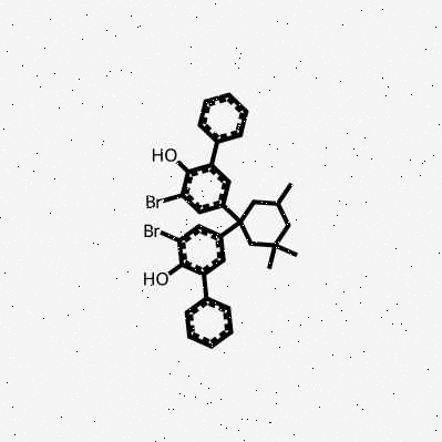 CC1CC(C)(C)CC(c2cc(Br)c(O)c(-c3ccccc3)c2)(c2cc(Br)c(O)c(-c3ccccc3)c2)C1